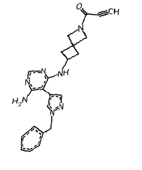 C#CC(=O)N1CC2(CC(Nc3ncnc(N)c3-c3cnn(Cc4ccccc4)c3)C2)C1